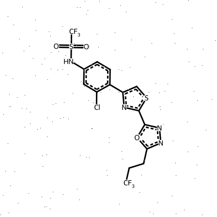 O=S(=O)(Nc1ccc(-c2csc(-c3nnc(CCC(F)(F)F)o3)n2)c(Cl)c1)C(F)(F)F